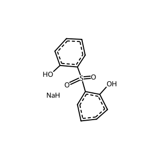 O=S(=O)(c1ccccc1O)c1ccccc1O.[NaH]